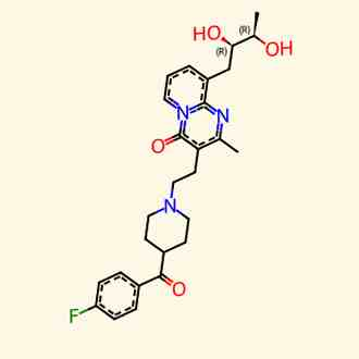 Cc1nc2c(C[C@@H](O)[C@@H](C)O)cccn2c(=O)c1CCN1CCC(C(=O)c2ccc(F)cc2)CC1